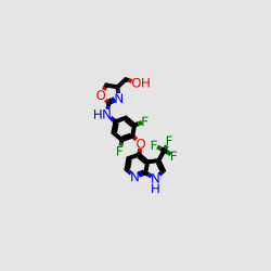 OCC1COC(Nc2cc(F)c(Oc3ccnc4[nH]cc(C(F)(F)F)c34)c(F)c2)=N1